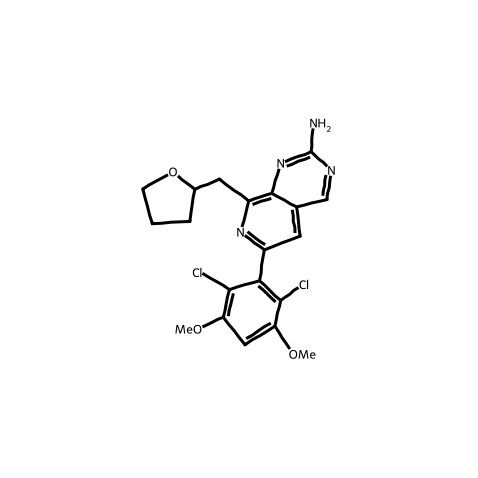 COc1cc(OC)c(Cl)c(-c2cc3cnc(N)nc3c(CC3CCCO3)n2)c1Cl